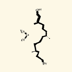 C/C(=C\CO)CCC[C@H](C)CCC[C@H](C)CCCC(C)C.CCOCC